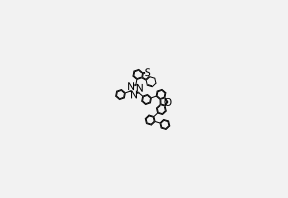 C1=Cc2c(sc3cccc(-c4nc(-c5ccccc5)nc(-c5cccc(-c6cccc7oc8ccc(-c9ccccc9-c9ccccc9)cc8c67)c5)n4)c23)CC1